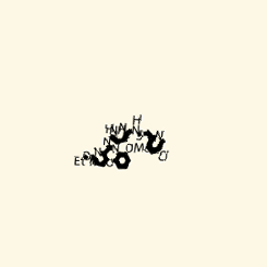 CCOc1cccc(-c2nc(N)c(/C=C(\N)NSCc3ccc(Cl)cn3)n2-c2c(OC)cccc2OC)n1